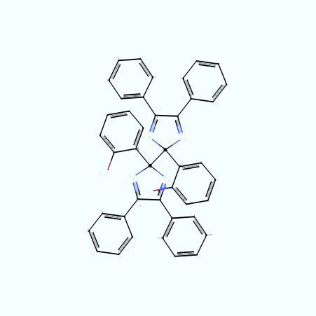 Brc1ccccc1C1(C2(c3ccccc3Br)N=C(c3ccccc3)C(c3ccccc3)=N2)N=C(c2ccccc2)C(c2ccccc2)=N1